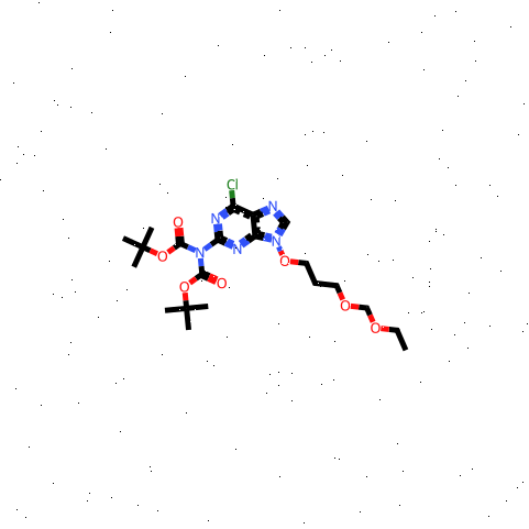 CCOCOCCCOn1cnc2c(Cl)nc(N(C(=O)OC(C)(C)C)C(=O)OC(C)(C)C)nc21